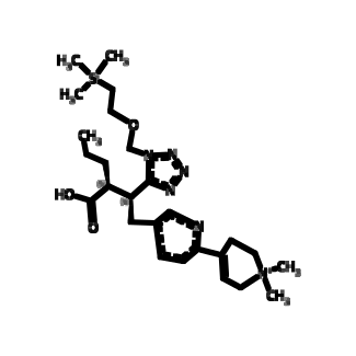 CCC[C@H](C(=O)O)[C@H](Cc1ccc(C2=CC[N+](C)(C)CC2)nc1)c1nnnn1COCC[Si](C)(C)C